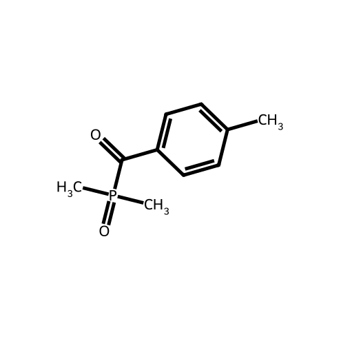 Cc1ccc(C(=O)P(C)(C)=O)cc1